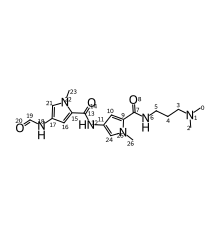 CN(C)CCCNC(=O)c1cc(NC(=O)c2cc(NC=O)cn2C)cn1C